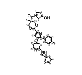 CC1(C(=O)N2CCC(O)C2)COC(c2nc(-c3ccc(F)cc3)c(-c3ccnc(NCc4cccs4)n3)[nH]2)OC1